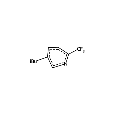 CCC(C)c1ccc(C(F)(F)F)nc1